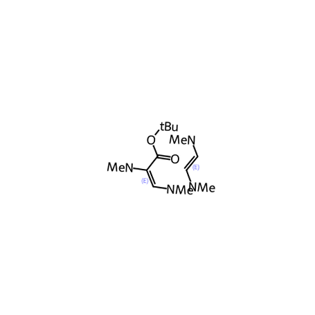 CN/C=C(/NC)C(=O)OC(C)(C)C.CN/C=C/NC